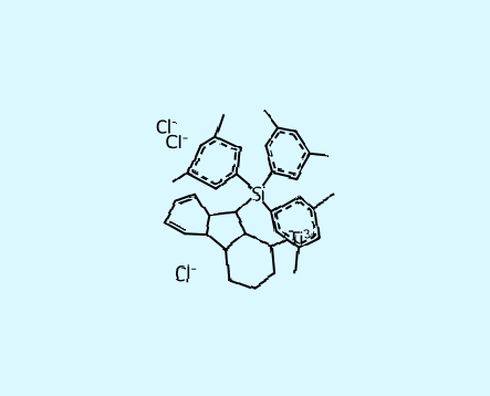 Cc1cc(C)cc([Si](c2cc(C)cc(C)c2)(c2cc(C)cc(C)c2)C2C3C=CC=CC3C3CCC[CH]([Ti+3])C32)c1.[Cl-].[Cl-].[Cl-]